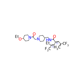 C=C(/C=C(\C=C(/CC)C(F)(F)F)C(=O)NCC1CCN(CC(=O)N2CCC(OCC)CC2)CC1)C(F)(F)F